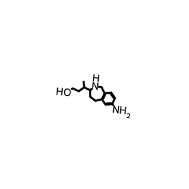 CC(CCO)C1CCc2cc(N)ccc2CN1